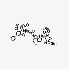 COC(=O)[C@H](CNC(=O)CNC1CCOc2ccc(N/C(=N\C(=O)OC(C)(C)C)NC(=O)OC(C)(C)C)cc21)NC(=O)c1c(Cl)cc(-c2ccccc2)cc1Cl